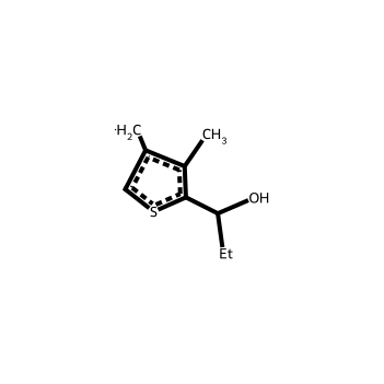 [CH2]c1csc(C(O)CC)c1C